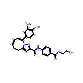 C=C(NCCO)c1ccc(NC(=C)c2cc3n(n2)/C(c2ccc(OC)c(OC)c2)=C\C=C/CC3)cc1